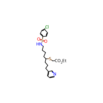 CCOC(=O)CSC(CCCCNS(=O)(=O)c1ccc(Cl)cc1)CCCc1cccnc1